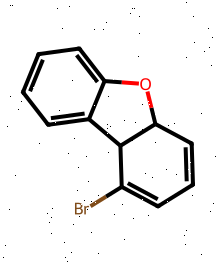 BrC1=CC=CC2Oc3ccccc3C12